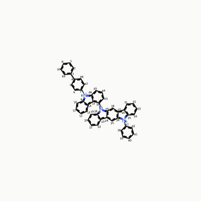 c1ccc(-c2ccc(-n3c4ccccc4c4c(-n5c6ccccc6c6cc7c(cc65)c5ccccc5n7-c5ccccc5)cccc43)cc2)cc1